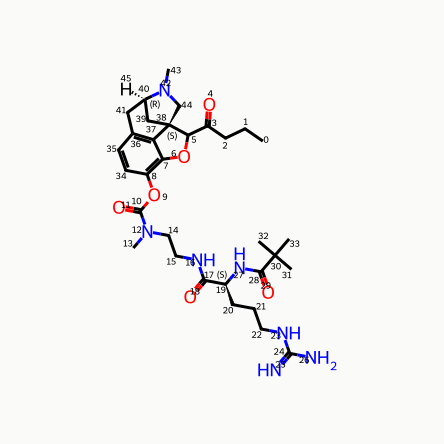 CCCC(=O)C1Oc2c(OC(=O)N(C)CCNC(=O)[C@H](CCCNC(=N)N)NC(=O)C(C)(C)C)ccc3c2[C@]12C[C@@H](C3)N(C)C2